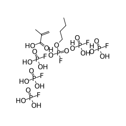 C=C(C)C(=O)O.CCCCOP(=O)(O)F.O=P(O)(O)F.O=P(O)(O)F.O=P(O)(O)F.O=P(O)(O)F.O=P(O)(O)F